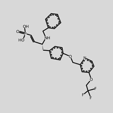 O=P(O)(O)C=C[C@@H](Cc1ccc(OCc2cc(OCC(F)(F)F)ccn2)cc1)NCc1ccccc1